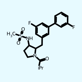 CC(C)C(=O)N1CCC(NS(C)(=O)=O)C1Cc1cc(F)cc(-c2cccc(F)c2)c1